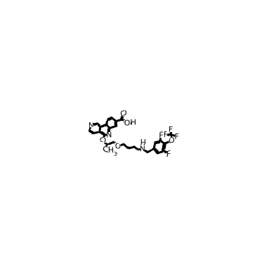 C[C@H](COCCCCNCc1cc(F)c(OC(F)(F)F)c(F)c1)Oc1nc2cc(C(=O)O)ccc2c2cnccc12